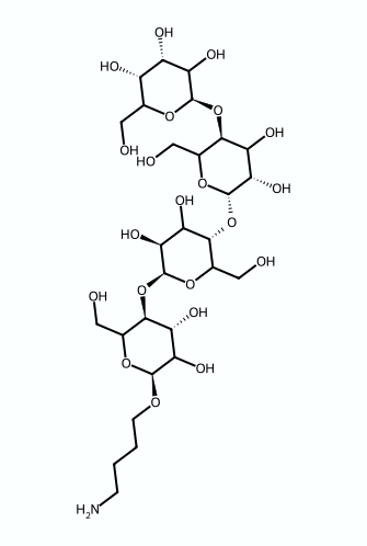 NCCCCO[C@H]1OC(CO)[C@@H](O[C@@H]2OC(CO)[C@@H](O[C@@H]3OC(CO)[C@@H](O[C@H]4OC(CO)[C@H](O)[C@H](O)C4O)C(O)[C@@H]3O)C(O)[C@@H]2O)[C@H](O)C1O